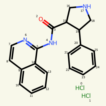 Cl.Cl.O=C(Nc1nccc2ccccc12)C1CNCC1c1ccccc1